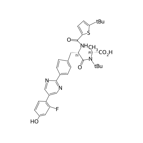 C[C@H](C(=O)O)N(C(=O)[C@H](Cc1ccc(-c2ncc(-c3ccc(O)cc3F)cn2)cc1)NC(=O)c1ccc(C(C)(C)C)s1)C(C)(C)C